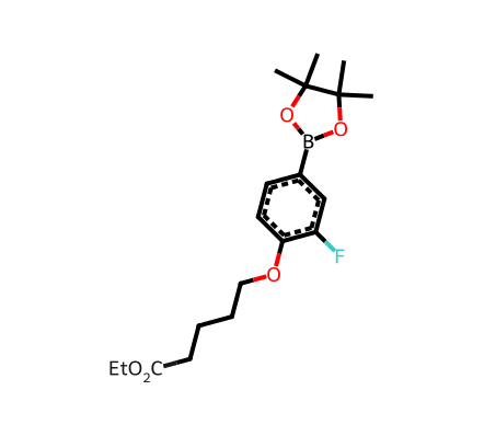 CCOC(=O)CCCCOc1ccc(B2OC(C)(C)C(C)(C)O2)cc1F